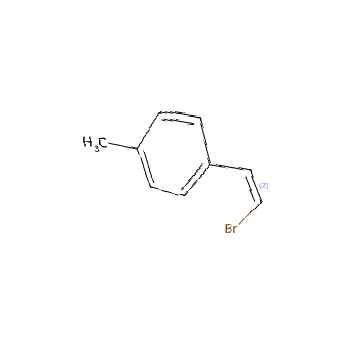 Cc1ccc(/C=C\Br)cc1